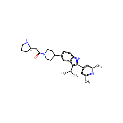 Cc1cc(-c2[nH]c3ccc(C4CCN(C(=O)C[C@H]5CCCN5)CC4)cc3c2C(C)C)cc(C)n1